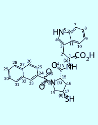 O=C(O)[C@H](Cc1c[nH]c2ccccc12)NC(=O)[C@@H]1C[C@@H](S)CN1S(=O)(=O)c1ccc2ccccc2c1